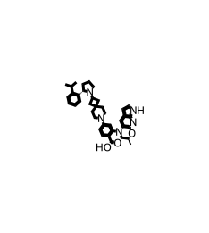 CC(C)c1ccccc1[C@@H]1CCCN1C1CC2(CCN(c3ccc(C(=O)O)c(N4C[C@H](C)Oc5nc6[nH]ccc6cc54)c3)CC2)C1